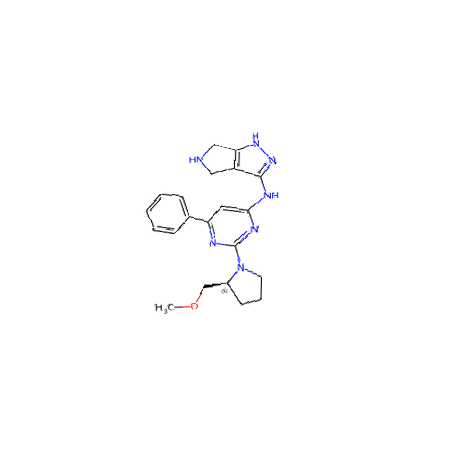 COC[C@@H]1CCCN1c1nc(Nc2n[nH]c3c2CNC3)cc(-c2ccccc2)n1